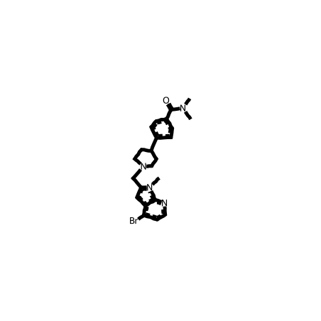 CN(C)C(=O)c1ccc(C2CCN(Cc3cc4c(Br)ccnc4n3C)CC2)cc1